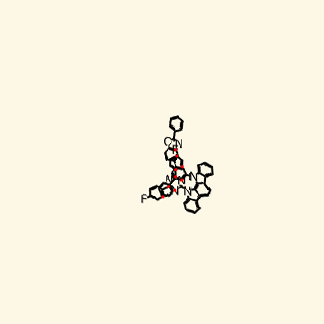 Fc1ccc(-c2nc(-c3ccc(F)cc3)nc(-n3c4ccccc4c4ccc5c6ccccc6n(-c6cc(-c7ccccc7)cc(-c7ccc8oc(-c9ccccc9)nc8c7)c6)c5c43)n2)cc1